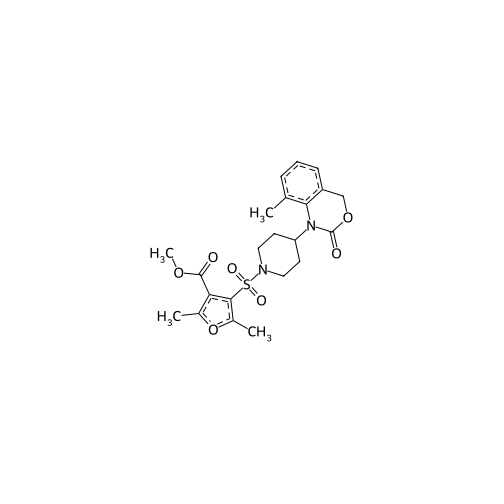 COC(=O)c1c(C)oc(C)c1S(=O)(=O)N1CCC(N2C(=O)OCc3cccc(C)c32)CC1